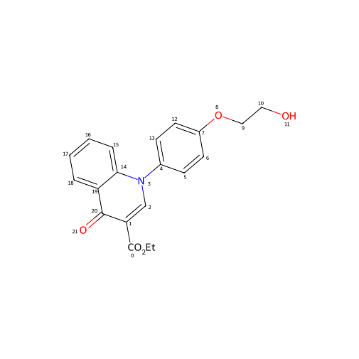 CCOC(=O)c1cn(-c2ccc(OCCO)cc2)c2ccccc2c1=O